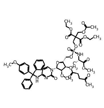 CCOC(=O)C(COC(C)=O)(COP(=O)(N[C@@H](C)C(=O)OC)OC[C@H]1O[C@@H](n2ccc(NC(c3ccccc3)(c3ccccc3)c3ccc(OC)cc3)nc2=O)[C@H](OC)[C@@H]1OC(=O)CCC(C)=O)C(=O)OCC